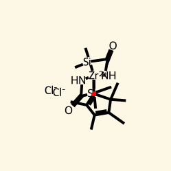 CC1=C(C)C(C)(C)[C]([Zr+2]23([NH]C(=O)[Si]2(C)C)[NH]C(=O)[Si]3(C)C)=C1C.[Cl-].[Cl-]